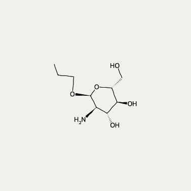 CCCO[C@H]1O[C@H](CO)[C@@H](O)[C@H](O)[C@H]1N